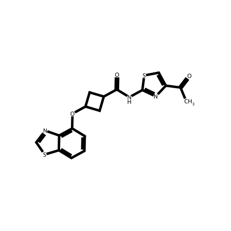 CC(=O)c1csc(NC(=O)C2CC(Oc3cccc4scnc34)C2)n1